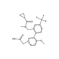 COc1ccc(CC(=O)O)cc1-c1ccc(C(F)(F)F)cc1CN(C)C(=O)C1CC1